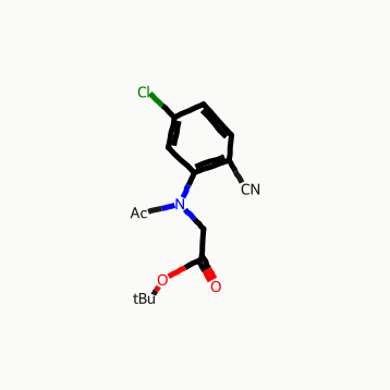 CC(=O)N(CC(=O)OC(C)(C)C)c1cc(Cl)ccc1C#N